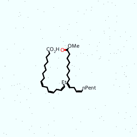 CC/C=C\C/C=C\C/C=C\CCCCCCCC(=O)O.CCCCC/C=C\C/C=C\CCCCCCCC(=O)OC